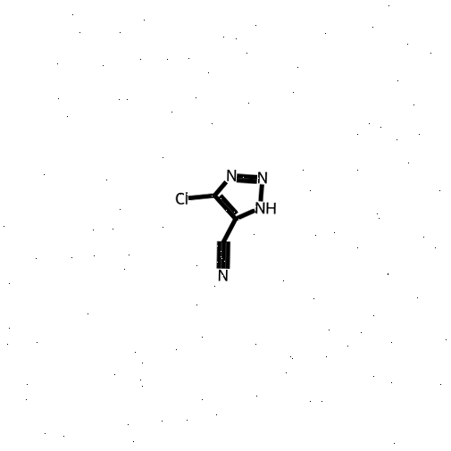 N#Cc1[nH]nnc1Cl